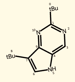 CC(C)(C)c1ncc2[nH]cc(C(C)(C)C)c2n1